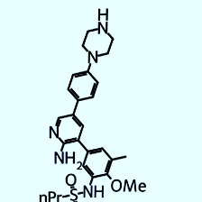 CCCS(=O)(=O)Nc1cc(-c2cc(-c3ccc(N4CCNCC4)cc3)cnc2N)cc(C)c1OC